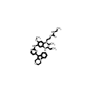 C=CC(=O)Nc1cc(Nc2nccc(-c3c4n(c5ccccc35)CCOC4)n2)c(OC)cc1N(CC)CCOC(=O)NCC